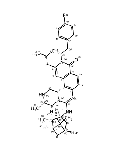 CC(C)Cc1nc2cc(N=C(N[C@H]3C[C@@H]4C[C@@H]([C@H]3C)C4(C)C)N3CCN[C@@H](C)C3)ccc2c(=O)n1CCc1ccc(F)cc1